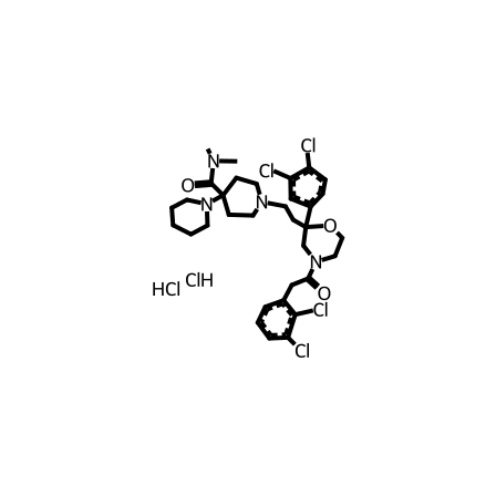 CN(C)C(=O)C1(N2CCCCC2)CCN(CCC2(c3ccc(Cl)c(Cl)c3)CN(C(=O)Cc3cccc(Cl)c3Cl)CCO2)CC1.Cl.Cl